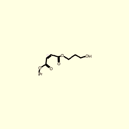 CC(C)OC(=O)/C=C\C(=O)OCCCO